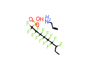 C=CCN.CCC(F)C(F)(F)C(F)(F)C(F)(F)C(F)(F)C(F)(F)C(F)(F)S(=O)(=O)O